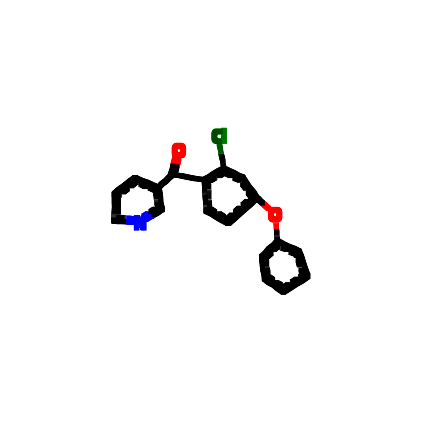 O=C(c1cccnc1)c1ccc(Oc2ccccc2)cc1Cl